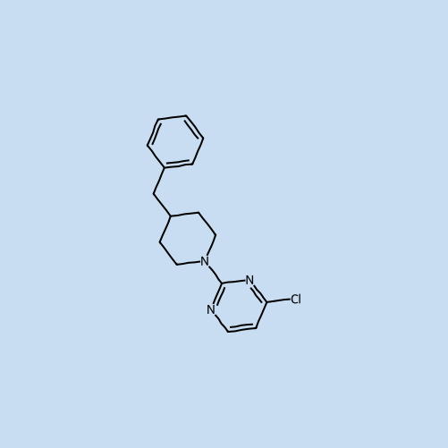 Clc1ccnc(N2CCC(Cc3ccccc3)CC2)n1